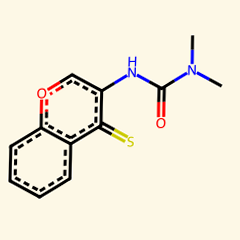 CN(C)C(=O)Nc1coc2ccccc2c1=S